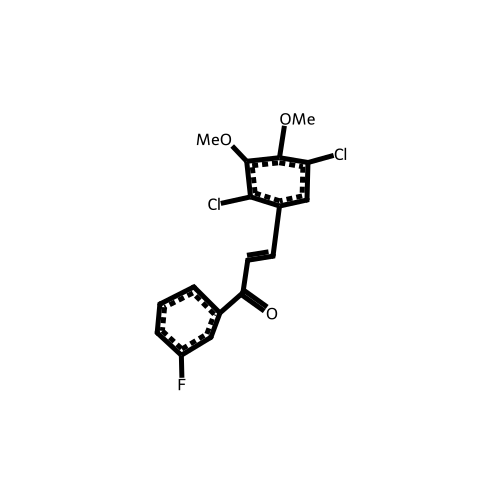 COc1c(Cl)cc(C=CC(=O)c2cccc(F)c2)c(Cl)c1OC